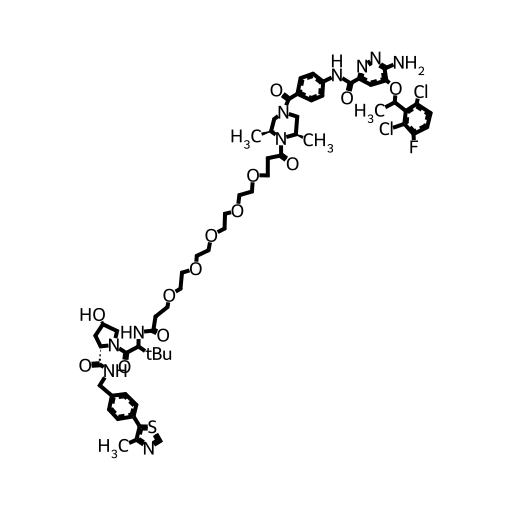 Cc1ncsc1-c1ccc(CNC(=O)[C@@H]2C[C@@H](O)CN2C(=O)C(NC(=O)CCOCCOCCOCCOCCOCCC(=O)N2[C@H](C)CN(C(=O)c3ccc(NC(=O)c4cc(OC(C)c5c(Cl)ccc(F)c5Cl)c(N)nn4)cc3)C[C@@H]2C)C(C)(C)C)cc1